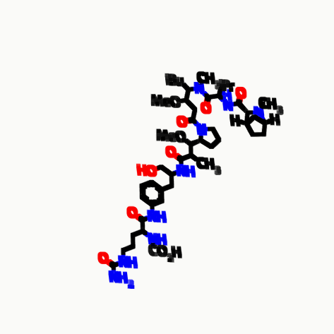 CCC(C)C(C(CC(=O)N1CCC[C@H]1C(OC)C(C)C(=O)NC(CO)Cc1cccc(NC(=O)C(CCCNC(N)=O)NC(=O)O)c1)OC)N(C)C(=O)C(NC(=O)[C@@H]1[C@H]2CC[C@H](C2)N1C)C(C)C